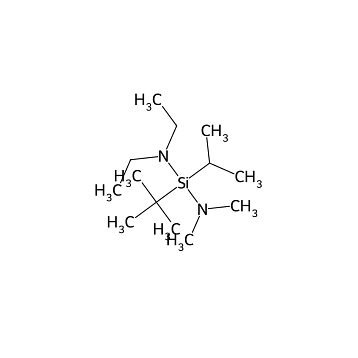 CCN(CC)[Si](C(C)C)(N(C)C)C(C)(C)C